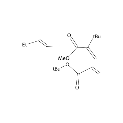 C=C(C(=O)OC)C(C)(C)C.C=CC(=O)OC(C)(C)C.CC=CCC